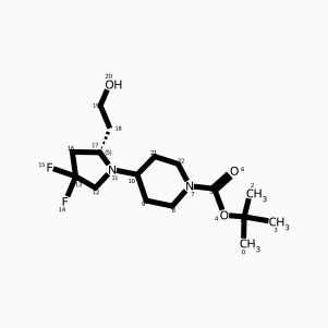 CC(C)(C)OC(=O)N1CCC(N2CC(F)(F)C[C@@H]2CCO)CC1